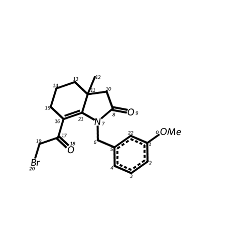 COc1cccc(CN2C(=O)CC3(C)CCCC(C(=O)CBr)=C23)c1